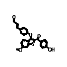 COc1ccc2c(Oc3ccc(/C=C/C=O)cc3)c(C(=O)c3ccc(O)cc3)sc2c1